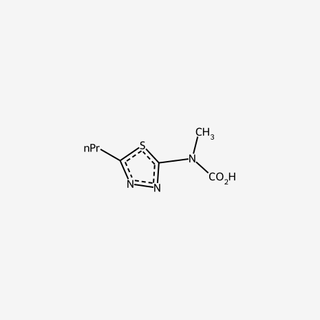 CCCc1nnc(N(C)C(=O)O)s1